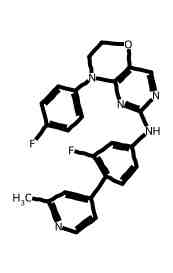 Cc1cc(-c2ccc(Nc3ncc4c(n3)N(c3ccc(F)cc3)CCO4)cc2F)ccn1